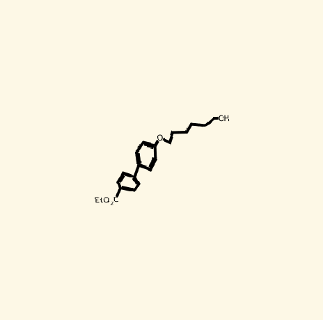 CCOC(=O)c1ccc(-c2ccc(OCCCCCCO)cc2)cc1